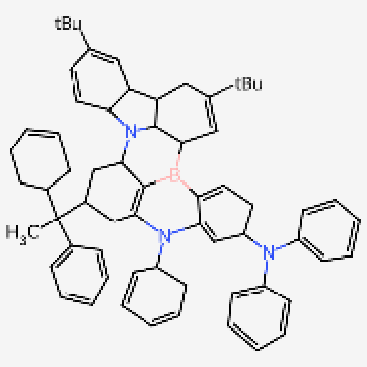 CC(C)(C)C1=CC2C3CC(C(C)(C)C)=CC4B5C6=CCC(N(c7ccccc7)c7ccccc7)C=C6N(C6C=CC=CC6)C6=C5C(CC(C(C)(c5ccccc5)C5CC=CCC5)C6)N(C2C=C1)C43